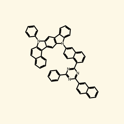 c1ccc(-c2nc(-c3ccc4ccccc4c3)nc(-c3cccc4cc(-n5c6ccccc6c6cc7c(cc65)c5c6ccccc6ccc5n7-c5ccccc5)ccc34)n2)cc1